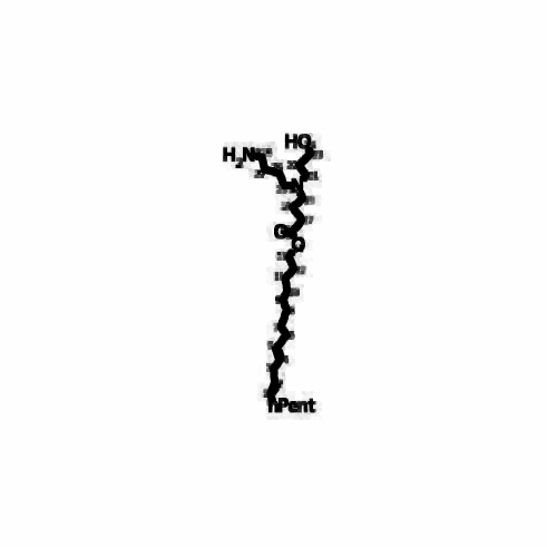 CCCCCC=CCC=CCCCCCCCCOC(=O)CCCN(CCCO)CCCCN